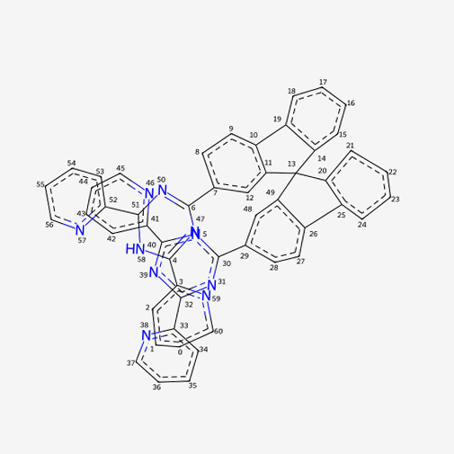 c1ccc(C2=NC(c3ccc4c(c3)C3(c5ccccc5-4)c4ccccc4-c4ccc(-c5nc(-c6ccccn6)nc(-c6ccccn6)n5)cc43)=NC(c3ccccn3)N2)nc1